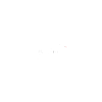 CC1(C)[C@@H](O)CC[C@]2(C)[C@H]3CC=C4[C@@H]5C[C@@]6(C)C[C@H](OC6=O)[C@]5(C)CC[C@@]4(C)[C@]3(C)CC[C@@H]12